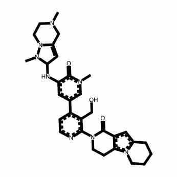 CN1CCN2C(=CC(Nc3cc(-c4ccnc(N5CCc6c(cc7n6CCCC7)C5=O)c4CO)cn(C)c3=O)N2C)C1